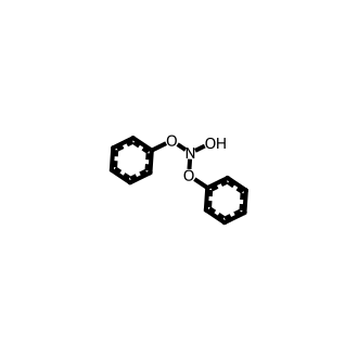 ON(Oc1ccccc1)Oc1ccccc1